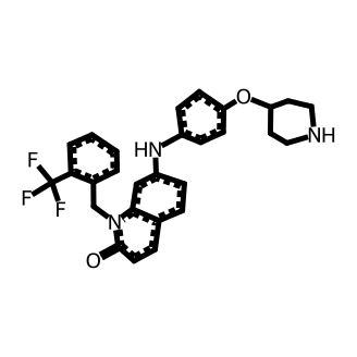 O=c1ccc2ccc(Nc3ccc(OC4CCNCC4)cc3)cc2n1Cc1ccccc1C(F)(F)F